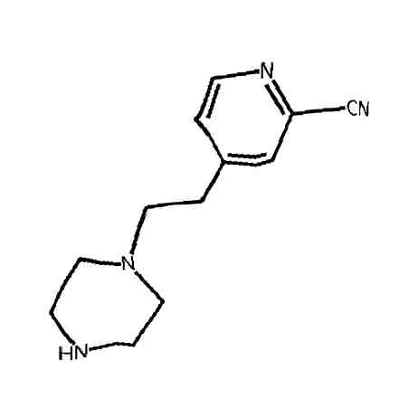 N#Cc1cc(CCN2CCNCC2)ccn1